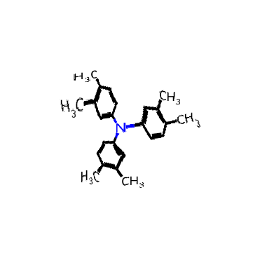 Cc1ccc(N(c2ccc(C)c(C)c2)c2ccc(C)c(C)c2)cc1C